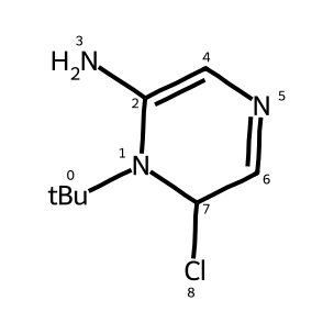 CC(C)(C)N1C(N)=CN=CC1Cl